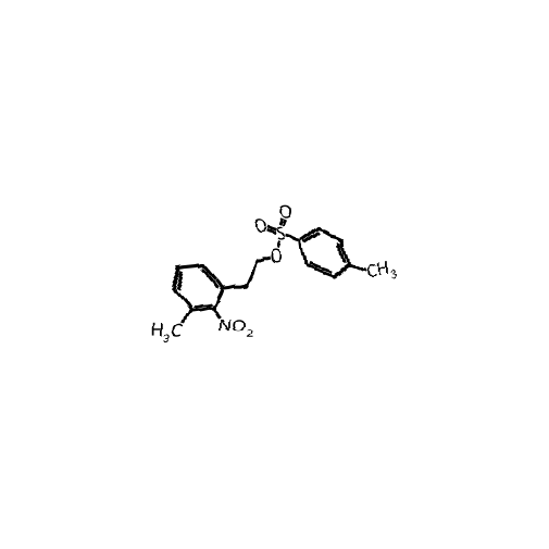 Cc1ccc(S(=O)(=O)OCCc2cccc(C)c2[N+](=O)[O-])cc1